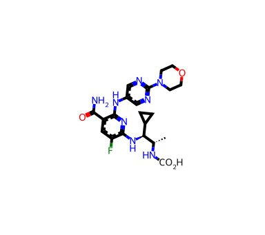 C[C@H](NC(=O)O)[C@@H](Nc1nc(Nc2cnc(N3CCOCC3)nc2)c(C(N)=O)cc1F)C1CC1